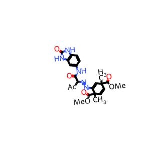 COC(=O)C1(C)C=CC(C)(C(=O)OC)C(N=NC(C(C)=O)C(=O)Nc2ccc3[nH]c(=O)[nH]c3c2)=C1